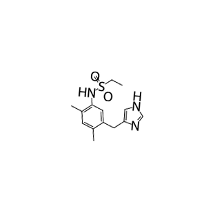 CCS(=O)(=O)Nc1cc(Cc2c[nH]cn2)c(C)cc1C